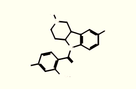 COc1cc(C)ccc1C(=O)N1c2ccc(C)cc2C2CN(C)CCC21